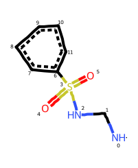 [NH]CNS(=O)(=O)c1ccccc1